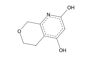 Oc1cc(O)c2c(n1)COCC2